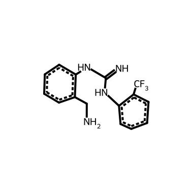 N=C(Nc1ccccc1CN)Nc1ccccc1C(F)(F)F